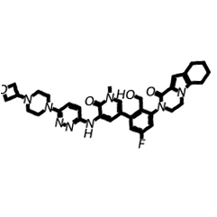 Cn1cc(-c2cc(F)cc(N3CCn4c(cc5c4CCCC5)C3=O)c2CO)cc(Nc2ccc(N3CCN(C4COC4)CC3)nn2)c1=O